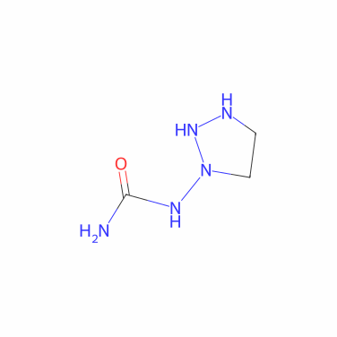 NC(=O)NN1CCNN1